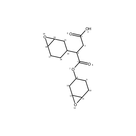 O=C(O)CC(C(=O)OC1CCC2OC2C1)C1CCC2OC2C1